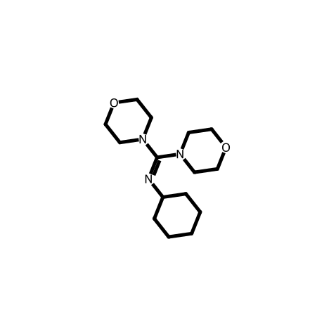 C1CCC(N=C(N2CCOCC2)N2CCOCC2)CC1